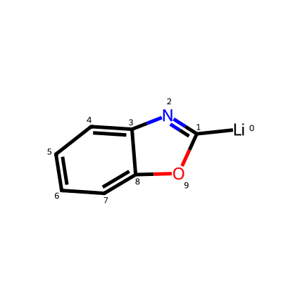 [Li][c]1nc2ccccc2o1